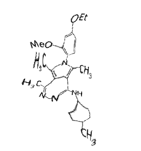 CCOc1ccc(-n2c(C)c3c(C)nnc(NC4CCC(C)CC4)c3c2C)c(OC)c1